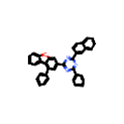 c1ccc(-c2nc(-c3ccc4ccccc4c3)nc(-c3cc(-c4ccccc4)c4c(c3)oc3ccccc34)n2)cc1